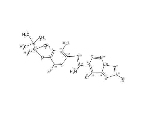 CC(C)(C)[Si](C)(C)Oc1cc(Cl)c(/N=C(\N)c2cnn3cc(Br)cc3c2Cl)cc1F